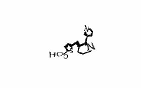 O=C(O)c1ccc(C=C2CCCN=C2c2cccnc2)s1